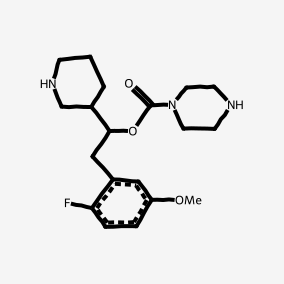 COc1ccc(F)c(CC(OC(=O)N2CCNCC2)C2CCCNC2)c1